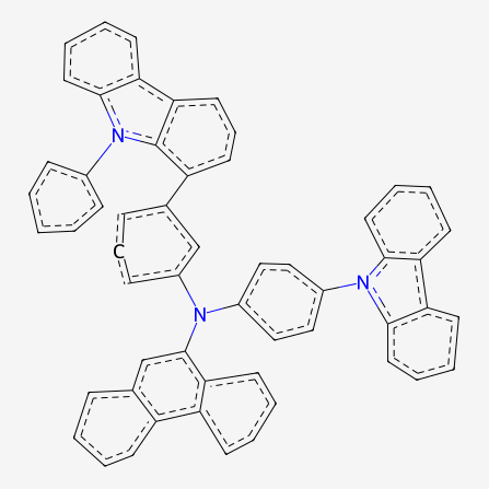 c1ccc(-n2c3ccccc3c3cccc(-c4cccc(N(c5ccc(-n6c7ccccc7c7ccccc76)cc5)c5cc6ccccc6c6ccccc56)c4)c32)cc1